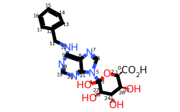 O=C(O)[C@H]1OC(O)(n2cnc3c(NCc4ccccc4)ncnc32)[C@H](O)[C@@H](O)[C@@H]1O